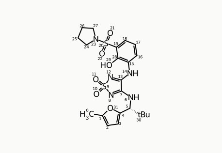 Cc1ccc([C@H](NC2=NS(=O)(=O)N=C2Nc2cccc(S(=O)(=O)N3CCCC3)c2O)C(C)(C)C)o1